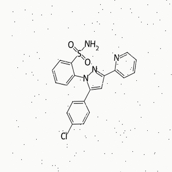 NS(=O)(=O)c1ccccc1-n1nc(-c2ccccn2)cc1-c1ccc(Cl)cc1